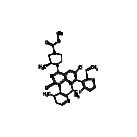 C=Cc1cccc(F)c1-c1c(Cl)cc2c(N3CCN(C(=O)OC(C)(C)C)C[C@@H]3C)nc(=O)n3c2[n+]1C(C)C1=C3C(C)CC=N1